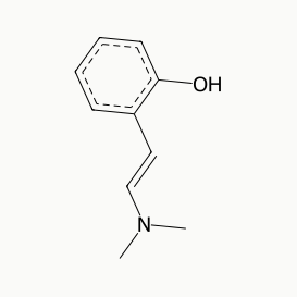 CN(C)C=Cc1ccccc1O